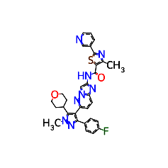 Cc1nc(-c2cccnc2)sc1C(=O)Nc1cn2nc(-c3c(-c4ccc(F)cc4)nn(C)c3C3CCOCC3)ccc2n1